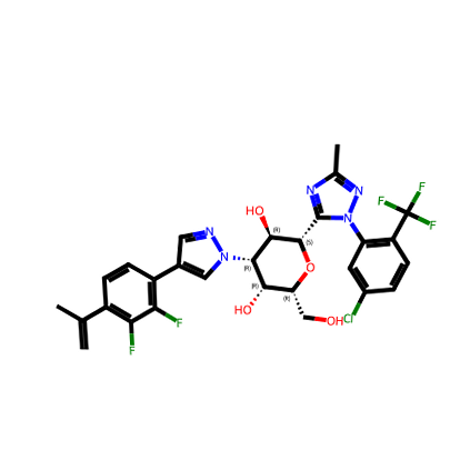 C=C(C)c1ccc(-c2cnn([C@H]3[C@@H](O)[C@@H](CO)O[C@@H](c4nc(C)nn4-c4cc(Cl)ccc4C(F)(F)F)[C@@H]3O)c2)c(F)c1F